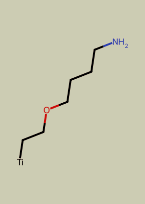 NCCCCOC[CH2][Ti]